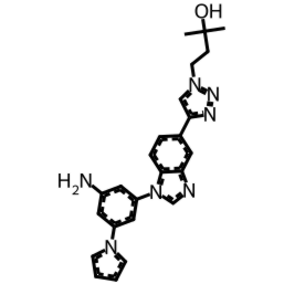 CC(C)(O)CCn1cc(-c2ccc3c(c2)ncn3-c2cc(N)cc(-n3cccc3)c2)nn1